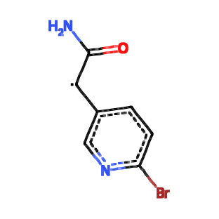 NC(=O)[CH]c1ccc(Br)nc1